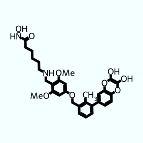 COc1cc(OCc2cccc(-c3ccc4c(c3)OC(O)=C(O)O4)c2C)cc(OC)c1CNCCCCCC(=O)NO